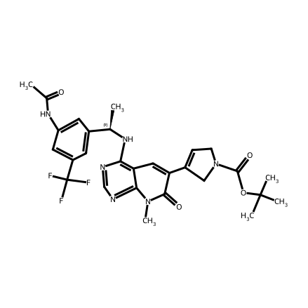 CC(=O)Nc1cc([C@@H](C)Nc2ncnc3c2cc(C2=CCN(C(=O)OC(C)(C)C)C2)c(=O)n3C)cc(C(F)(F)F)c1